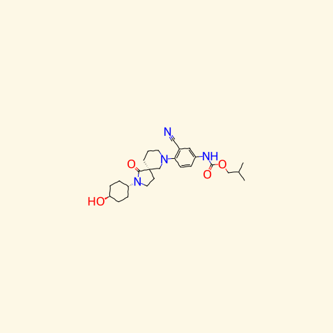 CC(C)COC(=O)Nc1ccc(N2CCC[C@@]3(CCN([C@H]4CC[C@H](O)CC4)C3=O)C2)c(C#N)c1